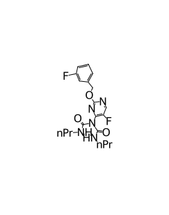 CCCNC(=O)N(C(=O)NCCC)c1nc(OCc2cccc(F)c2)ncc1F